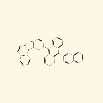 C1=CC2C=CC3OC4C=CC(c5c6c(c(-c7ccc8ccccc8c7)c7ccccc57)CCC=C6)CC4C3C2C=C1